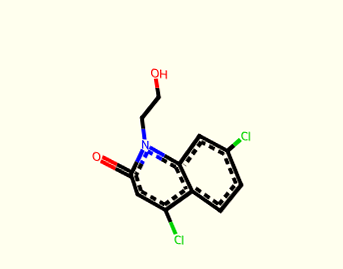 O=c1cc(Cl)c2ccc(Cl)cc2n1CCO